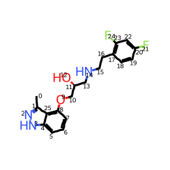 Cc1n[nH]c2cccc(OC[C@@H](O)CNCCc3ccc(F)cc3F)c12